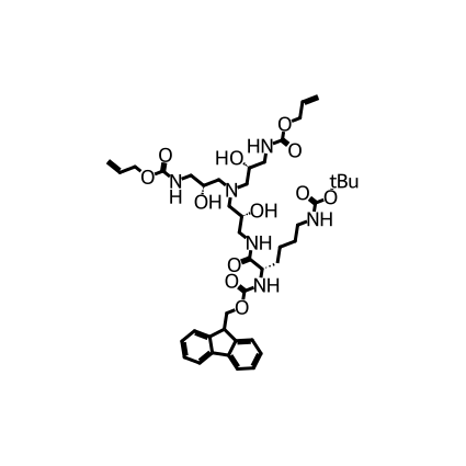 C=CCOC(=O)NC[C@@H](O)CN(C[C@H](O)CNC(=O)OCC=C)C[C@H](O)CNC(=O)[C@H](CCCCNC(=O)OC(C)(C)C)NC(=O)OCC1c2ccccc2-c2ccccc21